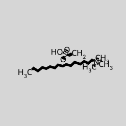 C=CS(=O)(=O)O.CCCCCCCCCCCCCCCC[N+](C)(C)C